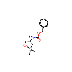 C[Si](C)(C)C[C@@H](CO)NC(=O)OCc1ccccc1